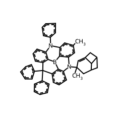 Cc1cc2c3c(c1)N(C1(C)C=C4CC5CC(C1)C45)c1cccc4c1B3c1c(cccc1C4(c1ccccc1)c1ccccc1)N2c1ccccc1